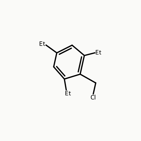 CCc1cc(CC)c(CCl)c(CC)c1